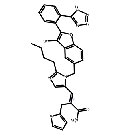 CCCCc1ncc(/C=C(\Cc2cccs2)C(N)=O)n1Cc1ccc2oc(-c3ccccc3-c3nnn[nH]3)c(Br)c2c1